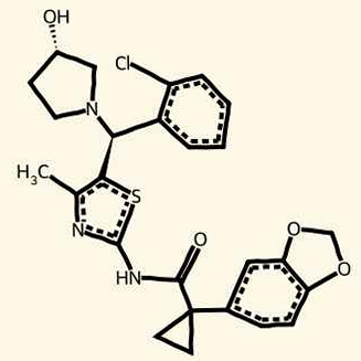 Cc1nc(NC(=O)C2(c3ccc4c(c3)OCO4)CC2)sc1[C@H](c1ccccc1Cl)N1CC[C@H](O)C1